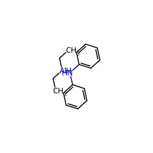 C[CH2][AlH][CH2]C.c1ccc(Nc2ccccc2)cc1